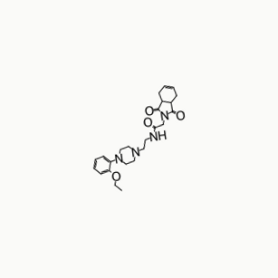 CCOc1ccccc1N1CCN(CCNC(=O)CN2C(=O)C3CC=CCC3C2=O)CC1